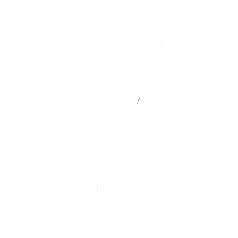 C=C1C[C@@H](c2ccc(Cl)cc2F)CO/C1=C/CC